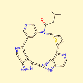 CC(C)CC(=O)n1c2cncc(c2)c2cc3c(cn2)[nH]nc3c2nc3c(ccnc3c3ccc1s3)[nH]2